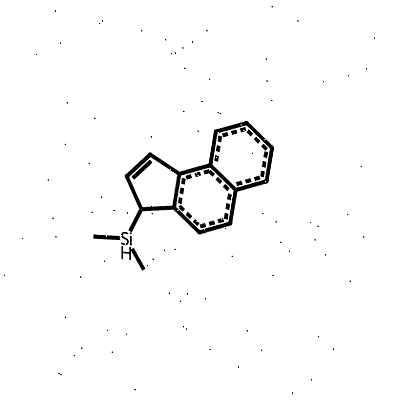 C[SiH](C)C1C=Cc2c1ccc1ccccc21